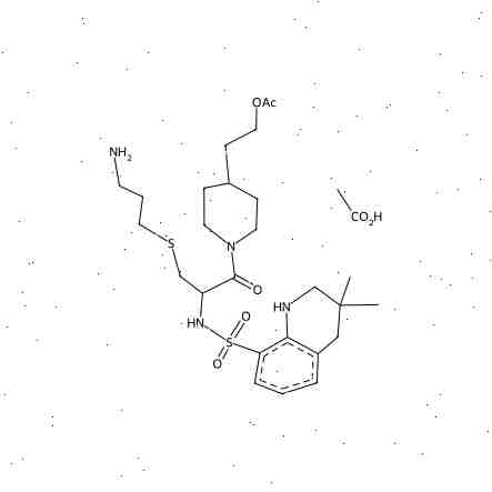 CC(=O)O.CC(=O)OCCC1CCN(C(=O)C(CSCCCN)NS(=O)(=O)c2cccc3c2NCC(C)(C)C3)CC1